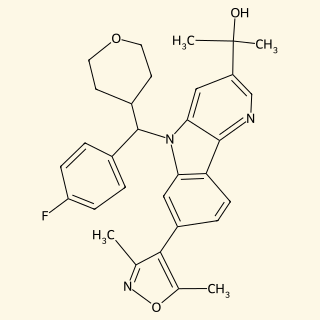 Cc1noc(C)c1-c1ccc2c3ncc(C(C)(C)O)cc3n(C(c3ccc(F)cc3)C3CCOCC3)c2c1